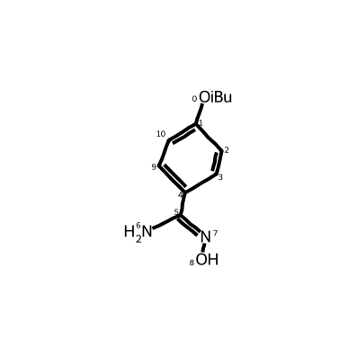 CC(C)COc1ccc(C(N)=NO)cc1